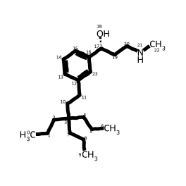 CCCC(CCC)(CCC)CCc1cccc([C@H](O)CCNC)c1